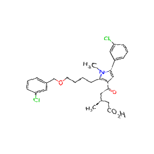 C[C@H](CC(=O)O)CC(=O)c1cc(-c2cccc(Cl)c2)n(C)c1CCCCOCc1cccc(Cl)c1